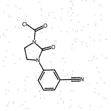 N#Cc1cccc(N2CCN(C(=O)Cl)C2=O)c1